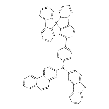 C1=CC2c3ccc(-c4ccc(N(c5ccc6c(ccc7ccccc76)c5)c5ccc6sc7ccccc7c6c5)cc4)cc3C3(c4ccccc4-c4ccccc43)C2C=C1